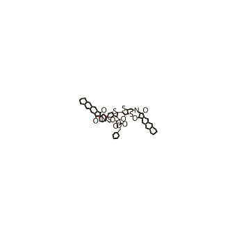 O=C(OCc1ccccc1)C1(C(=O)OCc2ccccc2)Oc2c(sc3cc(N=c4c(=O)c5cc6cc7ccccc7cc6cc5c4=O)sc23)-c2sc3cc(N=c4c(=O)c5cc6cc7ccccc7cc6cc5c4=O)sc3c21